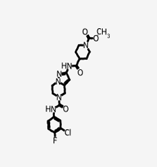 COC(=O)N1CCC(C(=O)Nc2cc3n(n2)CCN(C(=O)Nc2ccc(F)c(Cl)c2)C3)CC1